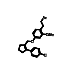 COc1cc(OCC2=C(c3ccc(Cl)cc3)CCC2)ccc1CCC(C)=O